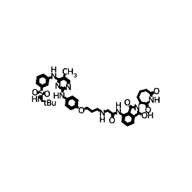 Cc1cnc(Nc2ccc(OCCCNCC(=O)Nc3cccc4c3C(=O)N([C@H]3CCCC(=O)NC3=O)C4O)cc2)nc1Nc1cccc(S(=O)(=O)NC(C)(C)C)c1